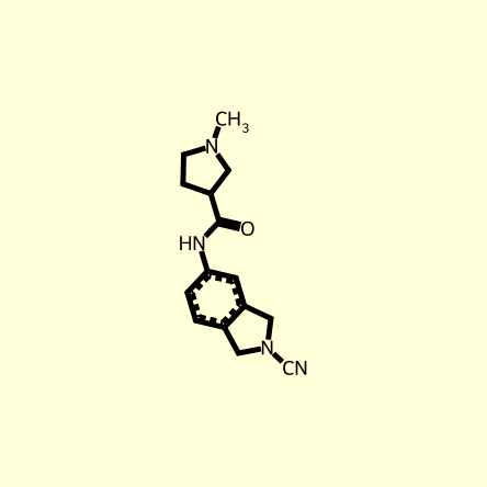 CN1CCC(C(=O)Nc2ccc3c(c2)CN(C#N)C3)C1